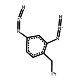 CC(C)Cc1ccc(N=[N+]=[N-])cc1N=[N+]=[N-]